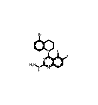 NNc1nc(N2CCCc3c(Br)cccc32)c2c(F)c(F)ccc2n1